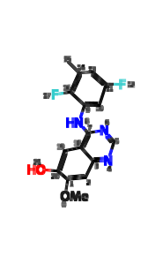 COc1cc2ncnc(Nc3cc(F)cc(C)c3F)c2cc1O